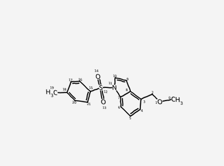 COCc1cccc2c1ccn2S(=O)(=O)c1ccc(C)cc1